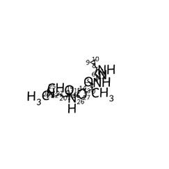 CC(C(=O)Nc1cc(C2CC2)[nH]n1)c1ccc(NC(=O)/C=C/CN(C)C)cc1